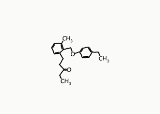 CCC(=O)CCc1cccc(C)c1COc1ccc(CC)cc1